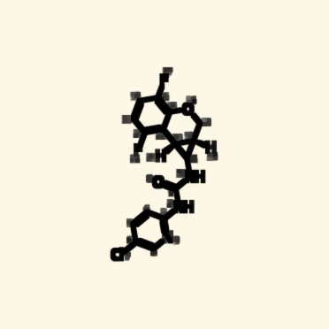 O=C(Nc1ccc(Cl)cn1)NC1[C@H]2COc3c(F)ccc(F)c3[C@@H]12